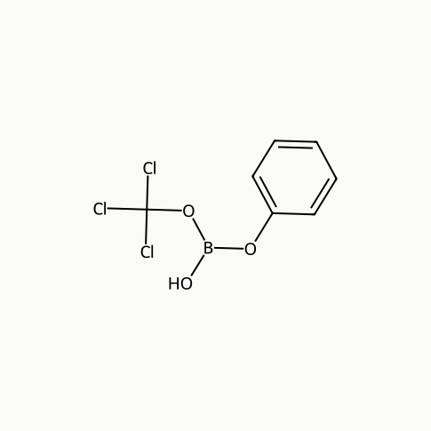 OB(Oc1ccccc1)OC(Cl)(Cl)Cl